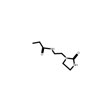 CCC(=O)NCCN1CCNC1=O